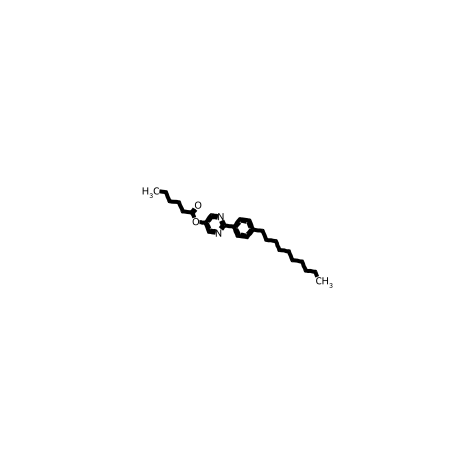 CCCCCCCCCCc1ccc(-c2ncc(OC(=O)CCCCC)cn2)cc1